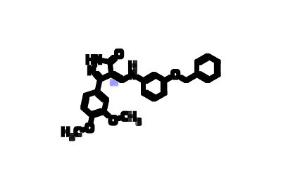 COc1ccc(C2=NNC(=O)/C2=C\Nc2cccc(OCc3ccccc3)c2)cc1OC